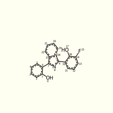 Oc1ccccc1-c1nc(-c2cccc(F)c2O)n2ccccc12